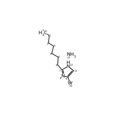 CCCCCCCc1nc(Br)c[nH]1.N